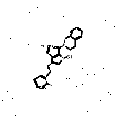 Cc1ccccc1CCc1cn(S)c2c(N3CCc4ccccc4C3)nccc12.Cl